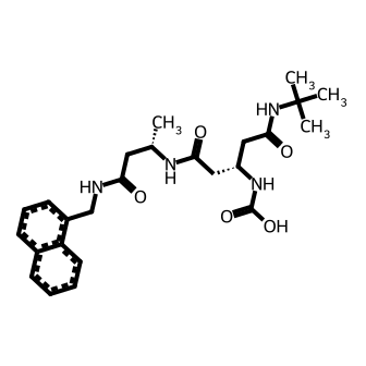 C[C@@H](CC(=O)NCc1cccc2ccccc12)NC(=O)C[C@H](CC(=O)NC(C)(C)C)NC(=O)O